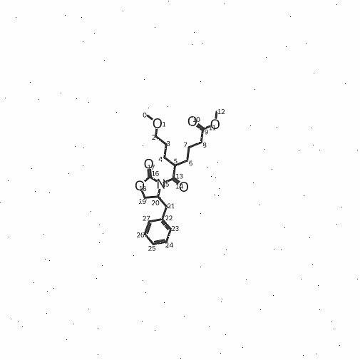 COCCCC(CCCC(=O)OC)C(=O)N1C(=O)OCC1Cc1ccccc1